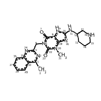 Cc1nc(Cn2c(=O)c3[nH]c(NC4CCCNC4)nc3n(C)c2=O)nc2ccccc12